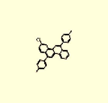 Cc1ccc(-c2cc3c4cc(Cl)ccc4c(-c4ccc(C)cc4)cc3c3ccccc23)cc1